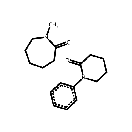 CN1CCCCCC1=O.O=C1CCCCN1c1ccccc1